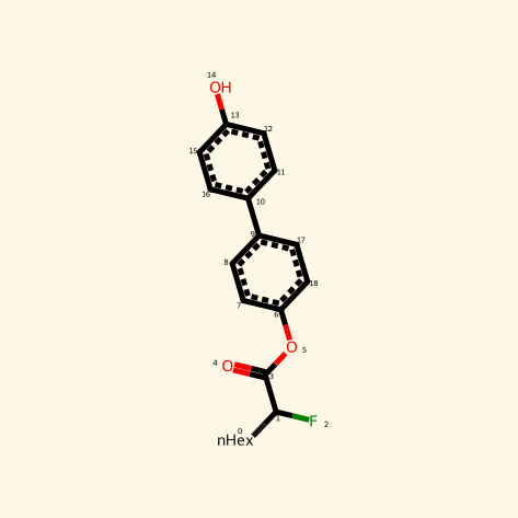 CCCCCCC(F)C(=O)Oc1ccc(-c2ccc(O)cc2)cc1